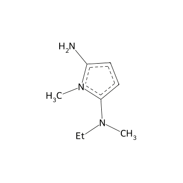 CCN(C)c1ccc(N)n1C